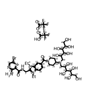 CCn1c(CNC(=O)c2nc(Br)cnc2N)[n+](CC)c2ccc(C(=O)N3CCC(N(CC(O)C(O)C(O)C(O)CO)CC(O)C(O)C(O)C(O)CO)CC3)cc21.O=C(O)C(F)(F)F.O=C([O-])C(F)(F)F